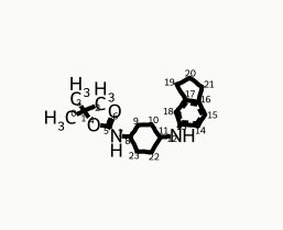 CC(C)(C)OC(=O)NC1CCC(Nc2ccc3c(c2)CCC3)CC1